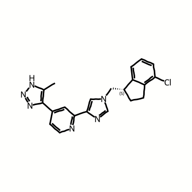 Cc1[nH]nnc1-c1ccnc(-c2cn(C[C@H]3CCc4c(Cl)cccc43)cn2)c1